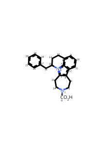 O=C(O)N1CCc2c(n3c4c(cccc24)CCC3Cc2ccccc2)CC1